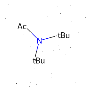 [CH2]C(=O)N(C(C)(C)C)C(C)(C)C